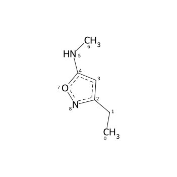 CCc1cc(NC)on1